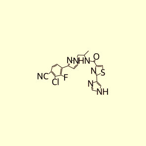 CC(Cn1ccc(-c2ccc(C#N)c(Cl)c2F)n1)NC(=O)c1csc(-c2c[nH]cn2)n1